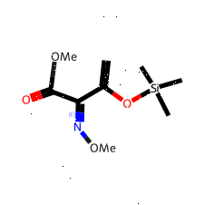 C=C(O[Si](C)(C)C)/C(=N\OC)C(=O)OC